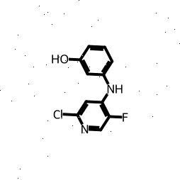 Oc1cccc(Nc2cc(Cl)ncc2F)c1